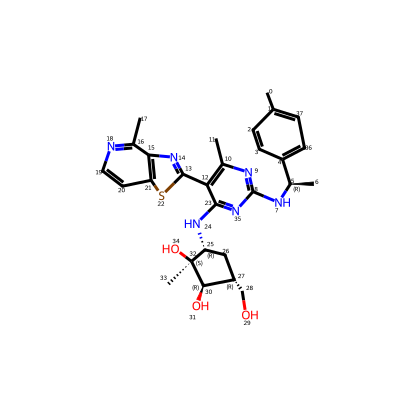 Cc1ccc([C@@H](C)Nc2nc(C)c(-c3nc4c(C)nccc4s3)c(N[C@@H]3C[C@H](CO)[C@@H](O)[C@@]3(C)O)n2)cc1